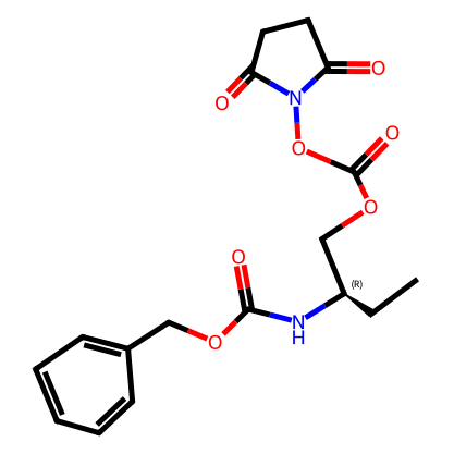 CC[C@H](COC(=O)ON1C(=O)CCC1=O)NC(=O)OCc1ccccc1